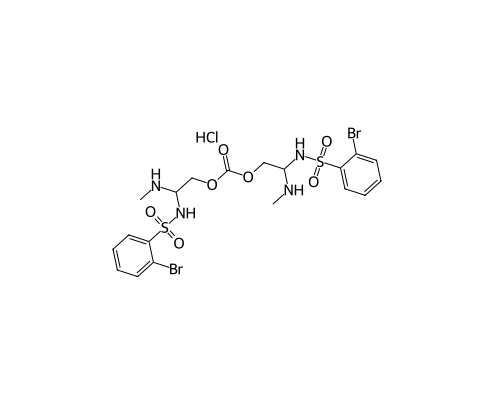 CNC(COC(=O)OCC(NC)NS(=O)(=O)c1ccccc1Br)NS(=O)(=O)c1ccccc1Br.Cl